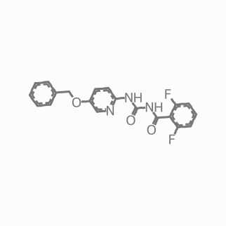 O=C(NC(=O)c1c(F)cccc1F)Nc1ccc(OCc2ccccc2)cn1